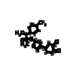 CC(c1ccc(C(F)(F)F)nc1)S(C)(=O)=Nc1nc(-c2ccc(Cl)c(Cl)c2)cs1